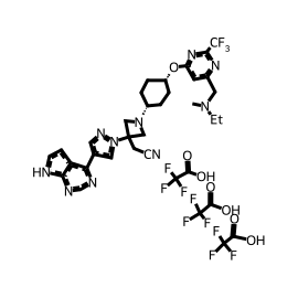 CCN(C)Cc1cc(O[C@H]2CC[C@@H](N3CC(CC#N)(n4cc(-c5ncnc6[nH]ccc56)cn4)C3)CC2)nc(C(F)(F)F)n1.O=C(O)C(F)(F)F.O=C(O)C(F)(F)F.O=C(O)C(F)(F)F